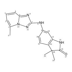 Cc1cccc2nc(Nc3ccc4c(c3)NC(=O)C4(C)C)nn12